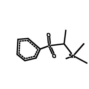 C[CH](S(=O)(=O)c1ccccc1)[Sn]([CH3])([CH3])[CH3]